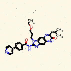 CCOCCCn1c(NC(=O)c2ccc(-c3ccncc3)cc2)nc2cc3[nH]c(=O)c(CC(C)C)nc3cc21